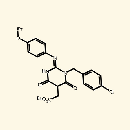 CCOC(=O)CC1C(=O)N/C(=N\c2ccc(OC(C)C)cc2)N(Cc2ccc(Cl)cc2)C1=O